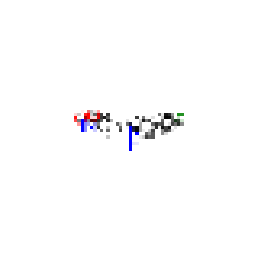 O=c1[nH]c2ccc(CCCN[C@H]3CC[C@H](c4ccc(F)cc4)CC3)cc2o1